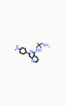 CN(C)c1ccc(-c2cc3ncccc3c(NCC(C)(C)CN)n2)cc1